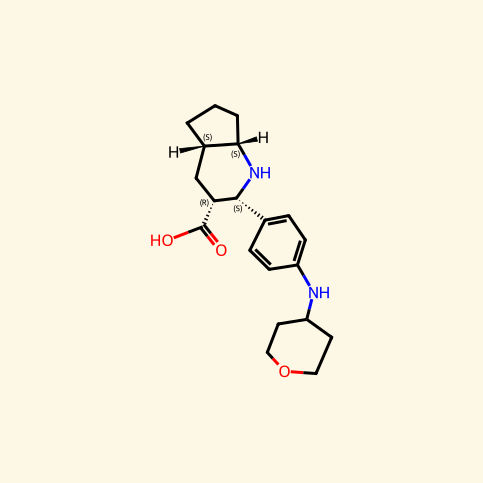 O=C(O)[C@@H]1C[C@@H]2CCC[C@@H]2N[C@@H]1c1ccc(NC2CCOCC2)cc1